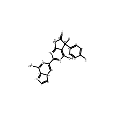 CCCc1nc(-c2nc(O)c3c(n2)NC(=O)C3(C)c2ccc(Cl)cc2)cn2ccnc12